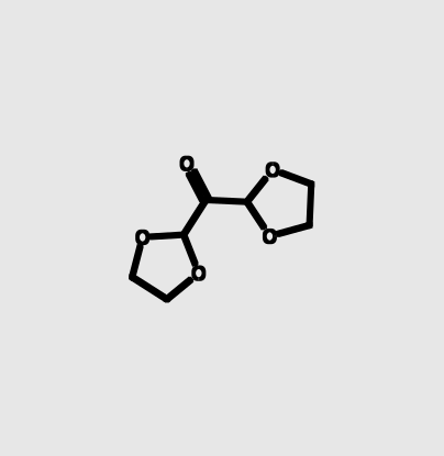 O=C(C1OCCO1)C1OCCO1